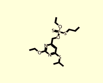 CCCS[P@@](=S)(OCC)OCc1cc(SC(C)C)nc(OCC)n1